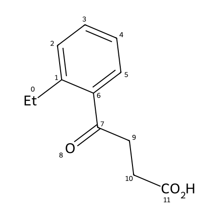 CCc1ccccc1C(=O)CCC(=O)O